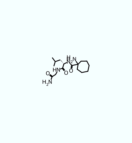 CC(C)C[C@H](NC(=O)C1(N)CCCCCC1)C(=O)NCC(N)=O